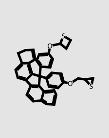 C1=Cc2c(ccc3c2C(c2ccc(OCC4CS4)cc2)(c2ccc(OC4CCS4)cc2)c2c-3ccc3ccccc23)CC1